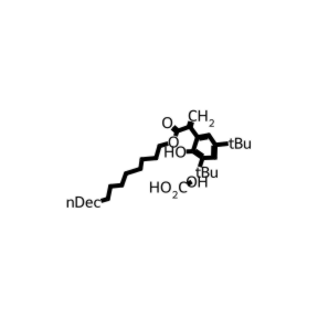 C=C(C(=O)OCCCCCCCCCCCCCCCCCC)c1cc(C(C)(C)C)cc(C(C)(C)C)c1O.O=C(O)O